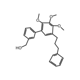 COc1c(CCCc2ccccc2)[c]c(-c2cccc(CO)c2)c(OC)c1OC